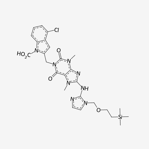 Cn1c(Nc2nccn2COCC[Si](C)(C)C)nc2c1c(=O)n(Cc1cc3c(Cl)cccc3n1C(=O)O)c(=O)n2C